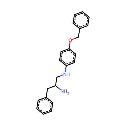 NC(CNc1ccc(OCc2ccccc2)cc1)Cc1ccccc1